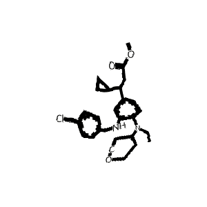 CCN(c1ccc(C(CC(=O)OC)C2CC2)cc1Nc1ccc(Cl)cc1)C1CCOCC1